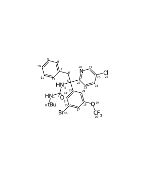 CC(C)(C)NC(=O)NC(Cc1ccccc1)(c1cc(Br)cc(OC(F)(F)F)c1)c1ccc(Cl)cn1